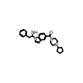 NC(Cc1ccccc1)n1ccc2cc(C(=O)N3CCN(C4CCCC4)CC3)ccc21